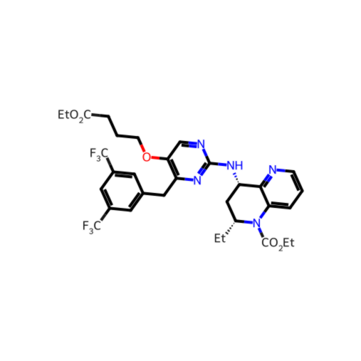 CCOC(=O)CCCOc1cnc(N[C@H]2C[C@@H](CC)N(C(=O)OCC)c3cccnc32)nc1Cc1cc(C(F)(F)F)cc(C(F)(F)F)c1